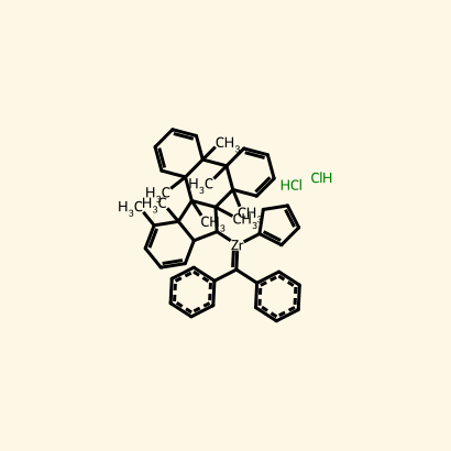 CC1=CC=CC2[CH]([Zr]([C]3=CC=CC3)=[C](c3ccccc3)c3ccccc3)C3(C)C4(C)C=CC=CC4(C)C4(C)C=CC=CC4(C)C3(C)C12C.Cl.Cl